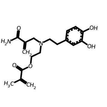 C=C(C)C(=O)OCCN(CCc1ccc(O)c(O)c1)CC(=C)C(N)=O